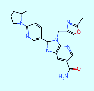 Cc1nc(Cn2c(-c3ccc(N4CCCC4C)nc3)nc3cc(C(N)=O)cnc32)co1